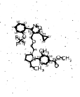 CCC1CC[C@@H](CCOCc2c(-c3ccccc3OC(F)(F)F)noc2C2CC2)N1c1ncc(C(=O)OC)cc1C